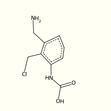 NCc1cccc(NC(=O)O)c1CCl